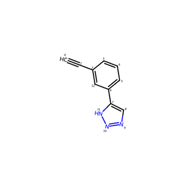 C#Cc1cccc(-c2cnn[nH]2)c1